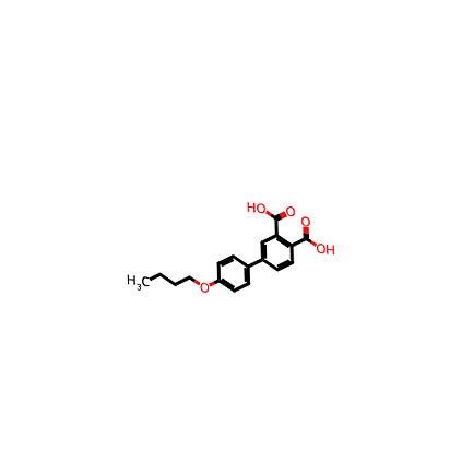 CCCCOc1ccc(-c2ccc(C(=O)O)c(C(=O)O)c2)cc1